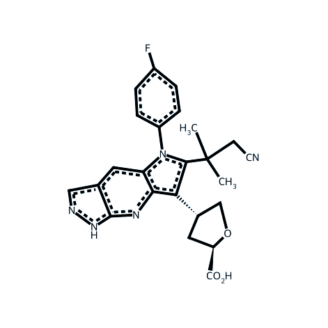 CC(C)(CC#N)c1c([C@@H]2CO[C@@H](C(=O)O)C2)c2nc3[nH]ncc3cc2n1-c1ccc(F)cc1